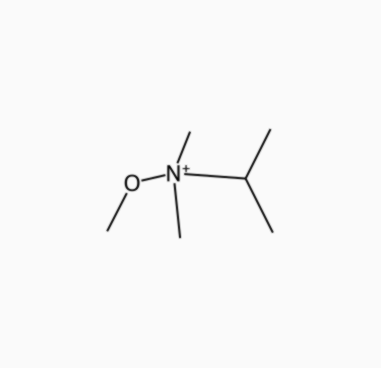 CO[N+](C)(C)C(C)C